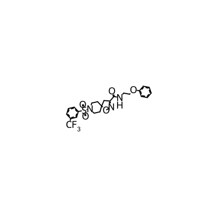 O=C(NCCOc1ccccc1)C1=NOC2(CCN(S(=O)(=O)c3cccc(C(F)(F)F)c3)CC2)C1